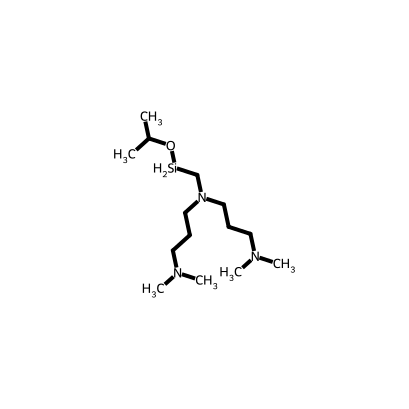 CC(C)O[SiH2]CN(CCCN(C)C)CCCN(C)C